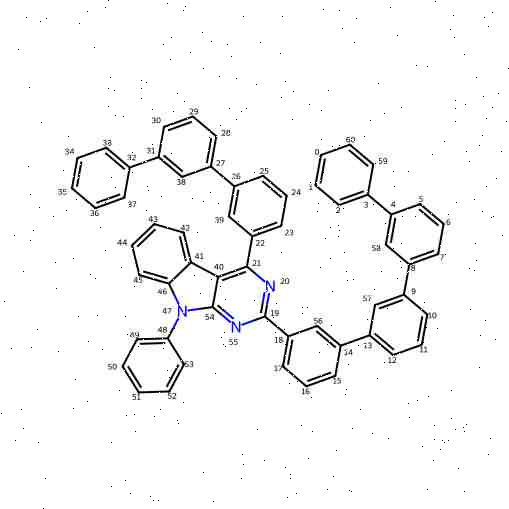 c1ccc(-c2cccc(-c3cccc(-c4cccc(-c5nc(-c6cccc(-c7cccc(-c8ccccc8)c7)c6)c6c7ccccc7n(-c7ccccc7)c6n5)c4)c3)c2)cc1